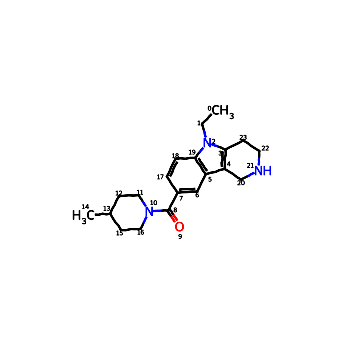 CCn1c2c(c3cc(C(=O)N4CCC(C)CC4)ccc31)CNCC2